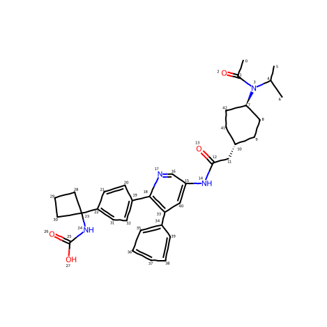 CC(=O)N(C(C)C)[C@H]1CC[C@H](CC(=O)Nc2cnc(-c3ccc(C4(NC(=O)O)CCC4)cc3)c(-c3ccccc3)c2)CC1